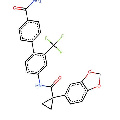 NC(=O)c1ccc(-c2ccc(NC(=O)C3(c4ccc5c(c4)OCO5)CC3)cc2C(F)(F)F)cc1